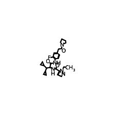 CCn1nccc1C(=O)NC(C(=O)Nc1ccc(CC(=O)N2CCCC2)cc1F)C(C1CC1)C1CC1